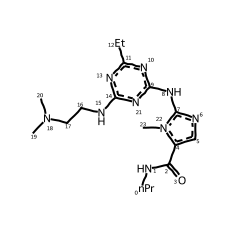 CCCNC(=O)c1cnc(Nc2nc(CC)nc(NCCN(C)C)n2)n1C